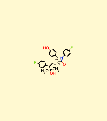 CC(C)(O)C(=CC[C@H]1C(=O)N(c2ccc(F)cc2)[C@@H]1c1ccc(O)cc1)c1ccc(F)cc1